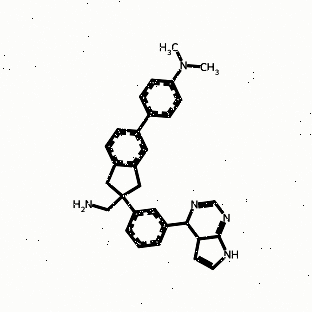 CN(C)c1ccc(-c2ccc3c(c2)CC(CN)(c2cccc(C4N=CN=C5NC=CC54)c2)C3)cc1